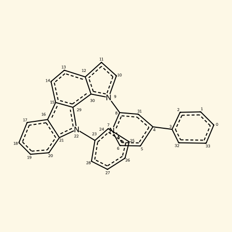 c1ccc(-c2ccnc(-n3ccc4ccc5c6ccccc6n(-c6ccccc6)c5c43)c2)cc1